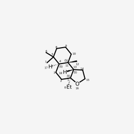 CC[C@]12CC[C@H]3C(C)(C)CCC[C@]3(C)[C@@H]1CCO2